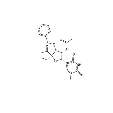 CC[C@@]1(C(C)=O)O[C@@H](n2cc(C)c(=O)[nH]c2=O)[C@@H](OC(C)=O)C1OCc1ccccc1